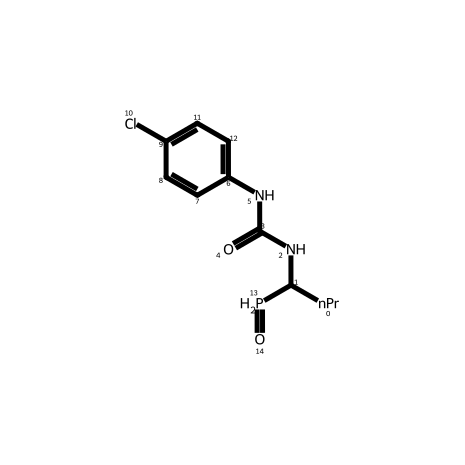 CCCC(NC(=O)Nc1ccc(Cl)cc1)[PH2]=O